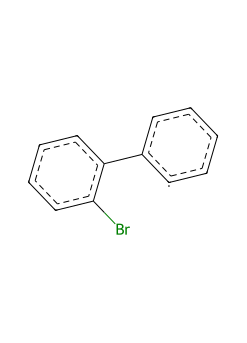 Brc1ccccc1-c1[c]cccc1